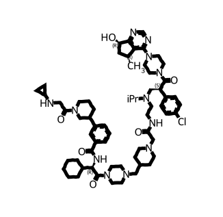 CC(C)N(CCNC(=O)CN1CCC(CN2CCN(C(=O)[C@H](NC(=O)c3cccc(C4CCCN(C(=O)CNC5CC5)C4)c3)C3CCCCC3)CC2)CC1)C[C@@H](C(=O)N1CCN(c2ncnc3c2[C@H](C)C[C@H]3O)CC1)c1ccc(Cl)cc1